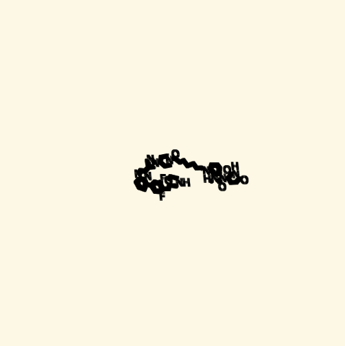 Cn1c(=O)n(C2CCC(=O)NC2=O)c2cccc(NCCCCCCC(=O)N3CCC(n4cc(-c5cnc6cccc(-c7cc(F)c(CC8CNCCO8)c(F)c7)c6n5)cn4)CC3)c21